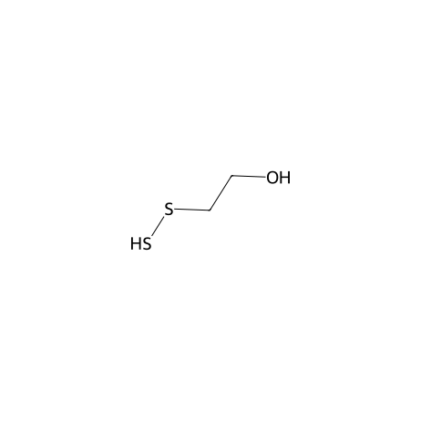 OCCSS